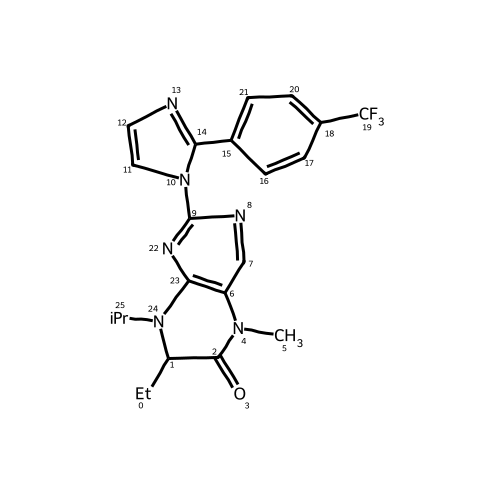 CCC1C(=O)N(C)c2cnc(-n3ccnc3-c3ccc(C(F)(F)F)cc3)nc2N1C(C)C